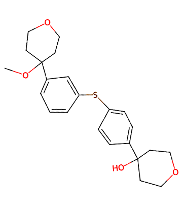 COC1(c2cccc(Sc3ccc(C4(O)CCOCC4)cc3)c2)CCOCC1